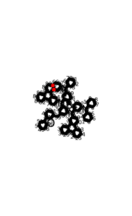 c1ccc(N(c2ccccc2)c2ccc3c(c2)N(c2ccc4c5ccccc5c5ccccc5c4c2)c2cc(Cc4cccc5c4oc4ccccc45)cc4c2B3c2ccc(N(c3ccccc3)c3ccccc3)cc2N4c2ccc3c4ccccc4c4ccccc4c3c2)cc1